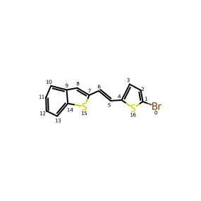 Brc1ccc(C=Cc2cc3ccccc3s2)s1